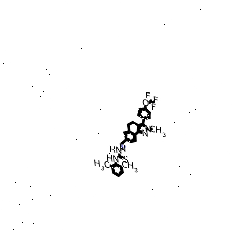 Cc1cccc(C)c1NC(=S)N/N=C/c1ccc2c(c1)CCc1c-2nn(C)c1-c1ccc(OC(F)(F)F)cc1